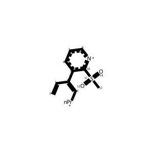 C=CC(=CCCC)c1cccnc1S(C)(=O)=O